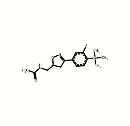 CC(=O)NCC1CC(c2cc[c]([Sn]([CH3])([CH3])[CH3])c(F)c2)=NO1